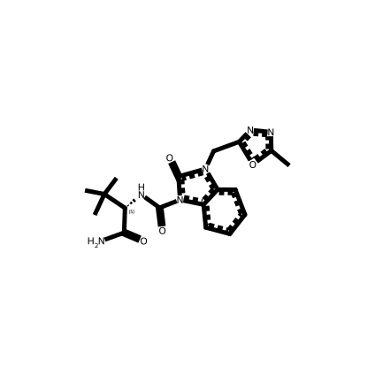 Cc1nnc(Cn2c(=O)n(C(=O)N[C@H](C(N)=O)C(C)(C)C)c3ccccc32)o1